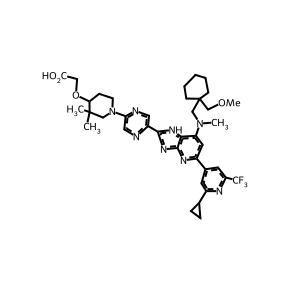 COCC1(CN(C)c2cc(-c3cc(C4CC4)nc(C(F)(F)F)c3)nc3nc(-c4cnc(N5CCC(OCC(=O)O)C(C)(C)C5)cn4)[nH]c23)CCCCC1